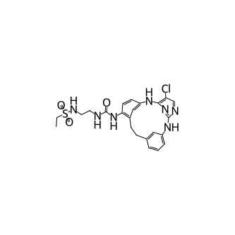 CCS(=O)(=O)NCCNC(=O)Nc1ccc2cc1CCc1cccc(c1)Nc1ncc(Cl)c(n1)N2